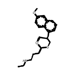 CCNCCCC1OCC(c2cccc3cc(OC)ccc23)CO1